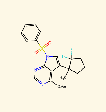 COc1ncnc2c1c(C1(C)CCCC1(F)F)cn2S(=O)(=O)c1ccccc1